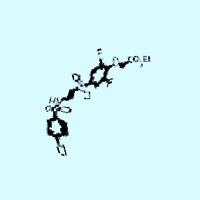 CCOC(=O)COc1c(F)cc(S(=O)(=O)CCNS(=O)(=O)c2ccc(Cl)cc2)cc1F